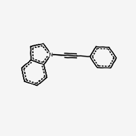 C(#Cn1ccc2ccccc21)c1ccccc1